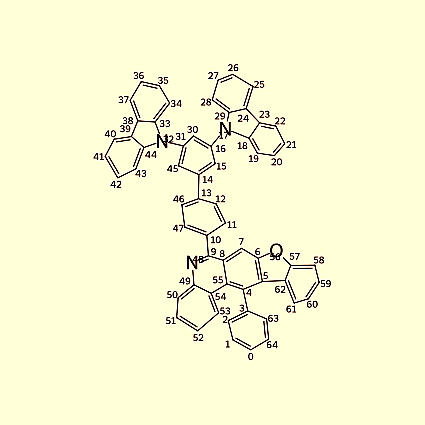 c1ccc(-c2c3c(cc4c(-c5ccc(-c6cc(-n7c8ccccc8c8ccccc87)cc(-n7c8ccccc8c8ccccc87)c6)cc5)nc5ccccc5c24)oc2ccccc23)cc1